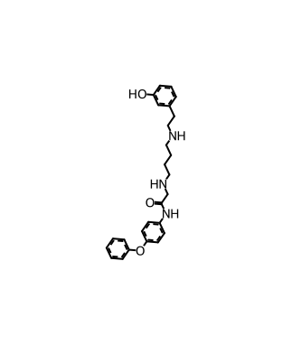 O=C(CNCCCCNCCc1cccc(O)c1)Nc1ccc(Oc2ccccc2)cc1